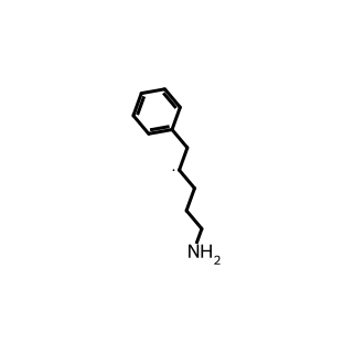 NCCC[CH]Cc1ccccc1